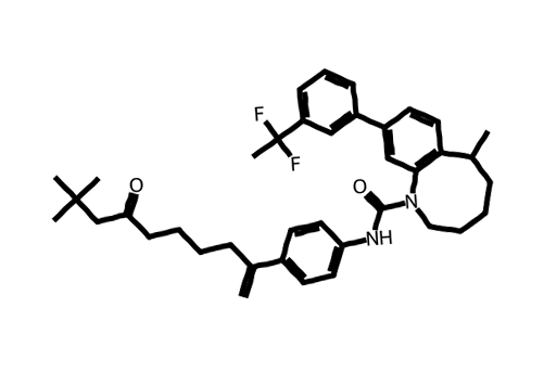 C=C(CCCCC(=O)CC(C)(C)C)c1ccc(NC(=O)N2CCCCC(C)c3ccc(-c4cccc(C(C)(F)F)c4)cc32)cc1